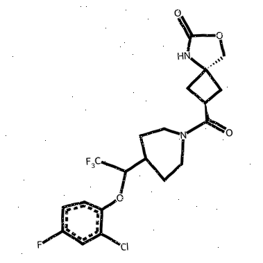 O=C1N[C@]2(CO1)C[C@H](C(=O)N1CCC(C(Oc3ccc(F)cc3Cl)C(F)(F)F)CC1)C2